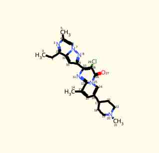 CCc1nc(C)cn2nc(-c3nc4c(C)cc(C5CCN(C)CC5)cn4c(=O)c3Cl)cc12